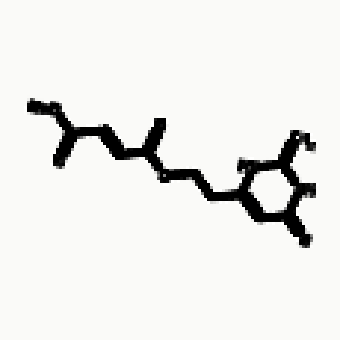 C=C1NC(=O)C=C(CCOC(=O)/C=C/C(=O)OC)N1